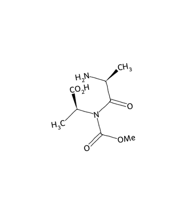 COC(=O)N(C(=O)[C@H](C)N)[C@@H](C)C(=O)O